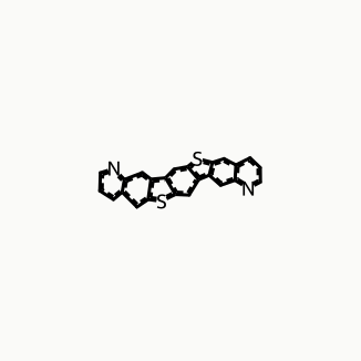 c1cnc2cc3c(cc2c1)sc1cc2c(cc13)sc1cc3cccnc3cc12